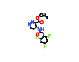 COC(=O)c1nnccc1NC(=O)Cc1c(F)cc(F)cc1F